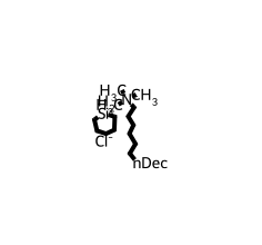 C1CC[SiH2]CC1.CCCCCCCCCCCCCCCC[N+](C)(C)C.[Cl-]